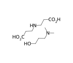 CN(C)CCCO.O=C(O)CCNCCC(=O)O